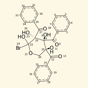 O=C(c1ccccc1)[C@]1(O)[C@](O)(C(=O)c2ccccc2)COC(O)(Br)[C@@]1(O)C(=O)c1ccccc1